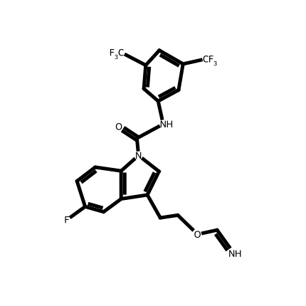 N=COCCc1cn(C(=O)Nc2cc(C(F)(F)F)cc(C(F)(F)F)c2)c2ccc(F)cc12